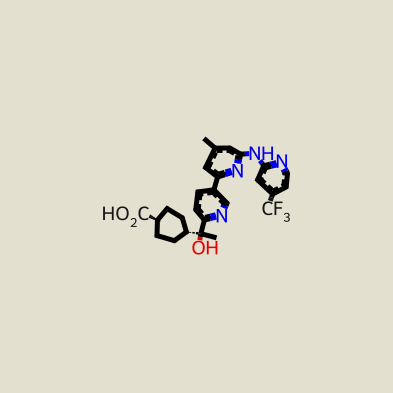 Cc1cc(Nc2cc(C(F)(F)F)ccn2)nc(-c2ccc(C(C)(O)[C@H]3CC[C@H](C(=O)O)CC3)nc2)c1